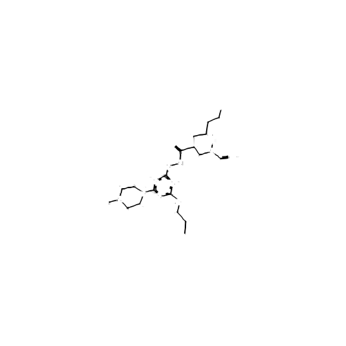 CCCCC[C@@H](CN(O)C=O)C(=O)NNc1nc(NCCC)nc(N2CCN(C)CC2)n1